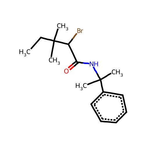 CCC(C)(C)C(Br)C(=O)NC(C)(C)c1ccccc1